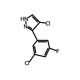 Fc1cc(Cl)cc(-c2n[nH]cc2Cl)c1